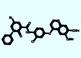 COc1cc2nccc(Oc3ccc(NC(=O)c4cc(Br)cn(-c5ccccc5)c4=O)c(Cl)c3)c2cc1OC